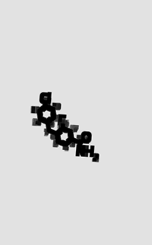 NC(=O)c1ccc(Cc2ccc(Cl)cc2)c(F)c1